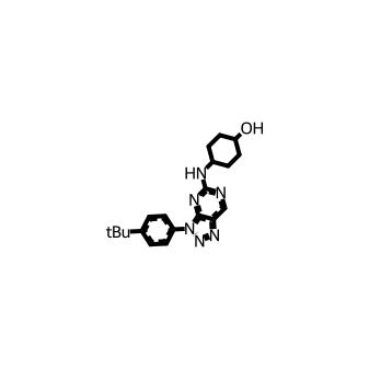 CC(C)(C)c1ccc(-n2nnc3cnc(NC4CCC(O)CC4)nc32)cc1